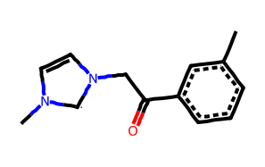 Cc1cccc(C(=O)CN2[CH]N(C)C=C2)c1